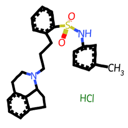 Cc1cccc(NS(=O)(=O)c2ccccc2CCCN2CCc3cccc4c3C2CC4)c1.Cl